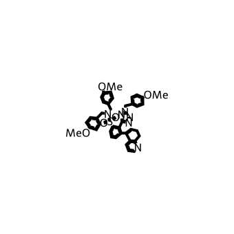 COc1ccc(CN(Cc2ccc(OC)cc2)S(=O)(=O)c2cccc(C3=CCCc4ncccc43)c2-c2nnn(Cc3ccc(OC)cc3)n2)cc1